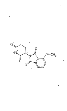 C=Cc1cccc2c1C(=O)N(C1CCC(=O)NC1=O)C2=O